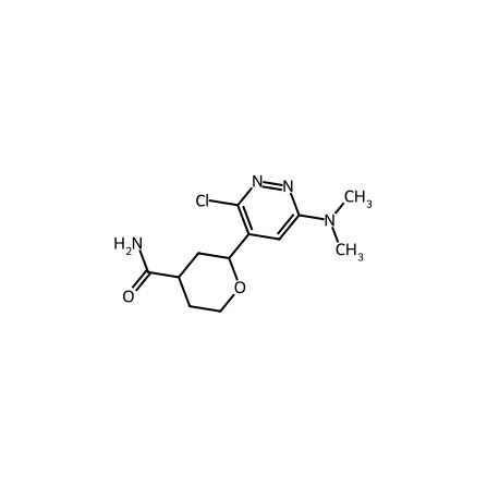 CN(C)c1cc(C2CC(C(N)=O)CCO2)c(Cl)nn1